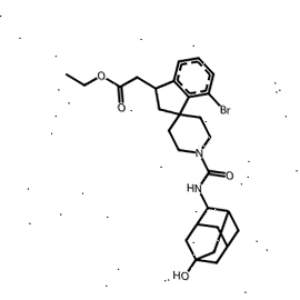 CCOC(=O)CC1CC2(CCN(C(=O)NC3C4CC5CC3CC(O)(C5)C4)CC2)c2c(Br)cccc21